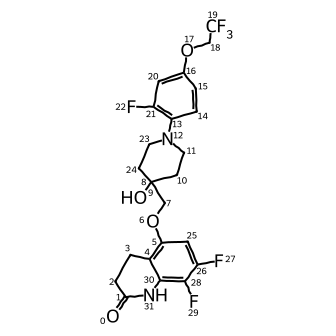 O=C1CCc2c(OCC3(O)CCN(c4ccc(OCC(F)(F)F)cc4F)CC3)cc(F)c(F)c2N1